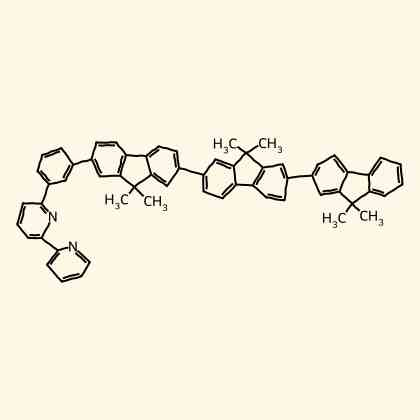 CC1(C)c2ccccc2-c2ccc(-c3ccc4c(c3)C(C)(C)c3cc(-c5ccc6c(c5)C(C)(C)c5cc(-c7cccc(-c8cccc(-c9ccccn9)n8)c7)ccc5-6)ccc3-4)cc21